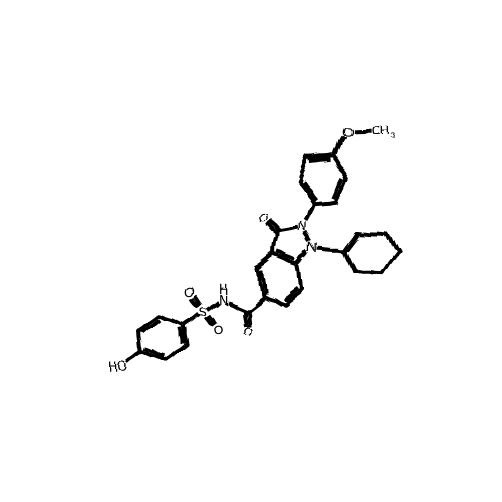 COc1ccc(-n2c(=O)c3cc(C(=O)NS(=O)(=O)c4ccc(O)cc4)ccc3n2C2CCCCC2)cc1